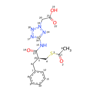 CC(=O)SC[C@@H](Cc1ccccc1)C(=O)Nc1nnn(CC(=O)O)n1